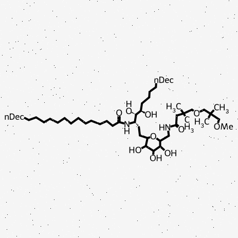 CCCCCCCCCCCCCCCCCCCCCCCC(=O)N[C@@H](CCC1OC(CNC(=O)CC(C)(C)COCC(C)(C)COC)C(O)C(O)C1O)[C@H](O)[C@H](O)CCCCCCCCCCCCCC